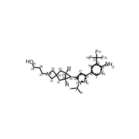 CC(C)n1nc(-c2cnc(N)c(C(F)(F)F)c2)cc1[C@H]1[C@@H]2CC3(C[C@@H]21)CN(CCCO)C3